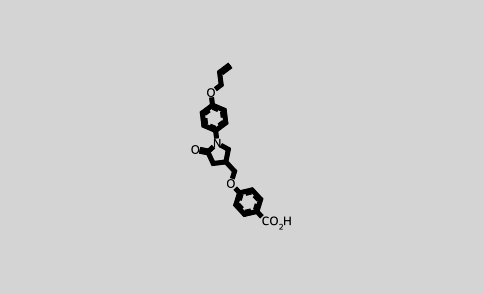 C=CCOc1ccc(N2CC(COc3ccc(C(=O)O)cc3)CC2=O)cc1